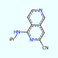 CC(C)Nc1nc(C#N)cc2cnccc12